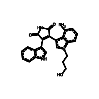 Nc1cccc2c1c(C1=C(c3c[nH]c4ccccc34)C(=O)NC1=O)cn2CCCO